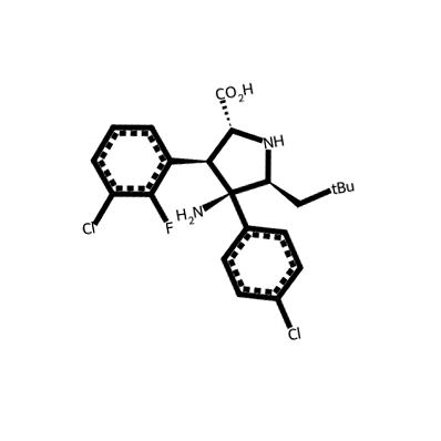 CC(C)(C)C[C@@H]1N[C@@H](C(=O)O)[C@H](c2cccc(Cl)c2F)[C@@]1(N)c1ccc(Cl)cc1